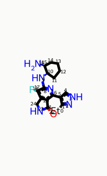 CCc1n[nH]cc1-c1nc(N[C@@H]2CCCC[C@@H]2N)c(F)c2c1C(=O)NC2